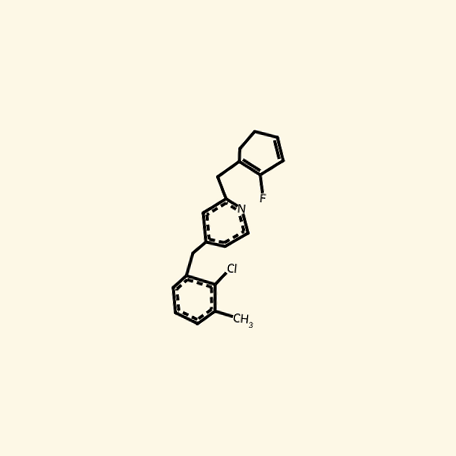 Cc1cccc(Cc2ccnc(CC3=C(F)C=CCC3)c2)c1Cl